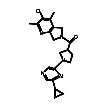 Cc1nc2c(c(C)c1Cl)CN(C(=O)C1CCN(c3cncc(C4CC4)n3)C1)C2